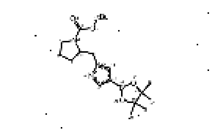 CC(C)(C)OC(=O)N1CCCC1Cn1cc(B2OC(C)(C)C(C)(C)O2)cn1